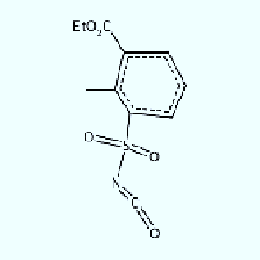 CCOC(=O)c1cccc(S(=O)(=O)N=C=O)c1I